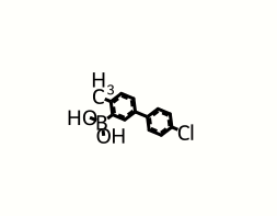 Cc1ccc(-c2ccc(Cl)cc2)cc1B(O)O